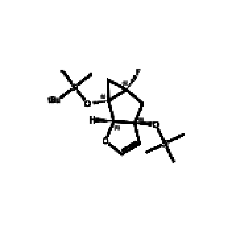 CC(C)(C)[Si](C)(C)O[C@]12C[C@@]1(F)C[C@]1(O[Si](C)(C)C)C=CO[C@@H]12